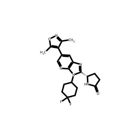 Cc1noc(C)c1-c1cnc2c(c1)nc([C@@H]1CCC(=O)N1)n2C1CCC(F)(F)CC1